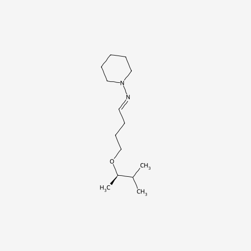 CC(C)[C@@H](C)OCCC/C=N/N1CCCCC1